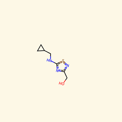 OCc1nsc(NCC2CC2)n1